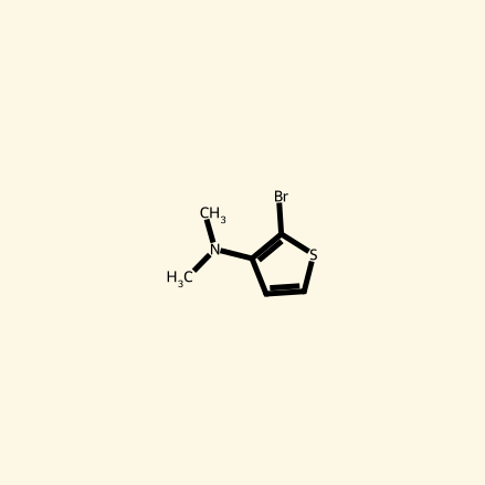 CN(C)c1ccsc1Br